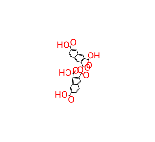 O=C(O)c1ccc2cc(C(=O)OC(=O)c3cc4ccc(C(=O)O)cc4cc3C(=O)O)c(C(=O)O)cc2c1